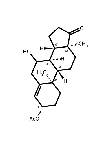 CC(=O)O[C@@H]1C=C2CC(O)[C@@H]3[C@H](CC[C@]4(C)C(=O)CC[C@@H]34)[C@@]2(C)CC1